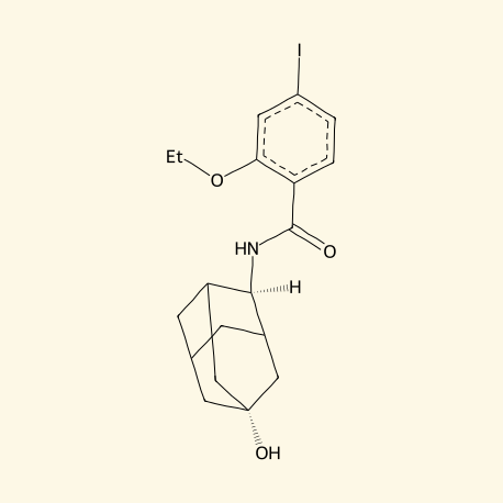 CCOc1cc(I)ccc1C(=O)N[C@H]1C2CC3CC1C[C@](O)(C3)C2